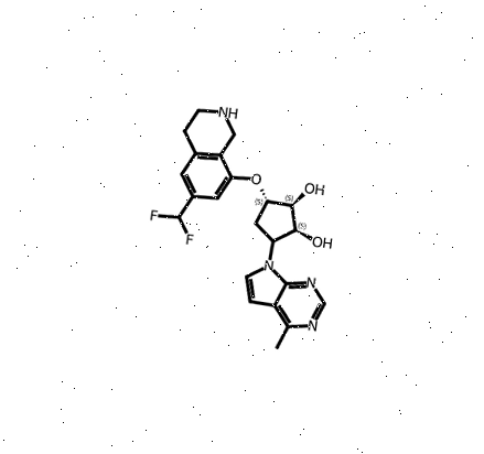 Cc1ncnc2c1ccn2C1C[C@H](Oc2cc(C(F)F)cc3c2CNCC3)[C@@H](O)[C@H]1O